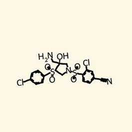 N#Cc1ccc(S(=O)(=O)N2C[C@H](S(=O)(=O)c3ccc(Cl)cc3)[C@](O)(CN)C2)c(Cl)c1